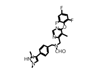 Cc1c(CN(C=O)Cc2ccc(C3=CN(C)NN3C)cc2)ncnc1Oc1c(F)cc(F)cc1F